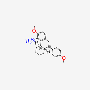 COC1=CCC([C@@H]2Cc3ccc(OC)c(N)c3[C@@H]3CCCC[C@@H]32)C=C1